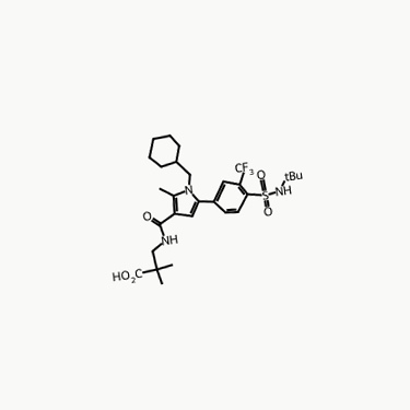 Cc1c(C(=O)NCC(C)(C)C(=O)O)cc(-c2ccc(S(=O)(=O)NC(C)(C)C)c(C(F)(F)F)c2)n1CC1CCCCC1